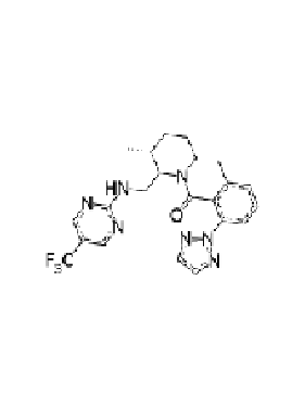 Cc1cccc(-n2nccn2)c1C(=O)N1CCC[C@@H](C)C1CNc1ncc(C(F)(F)F)cn1